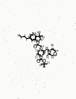 CCCCc1cnc2c(c1)N(C(=O)CN1C[C@@H](C)N(C(=O)OC(C)(C)C)C[C@@H]1CN1[C@H](C)COC[C@H]1C)CC2(C)C